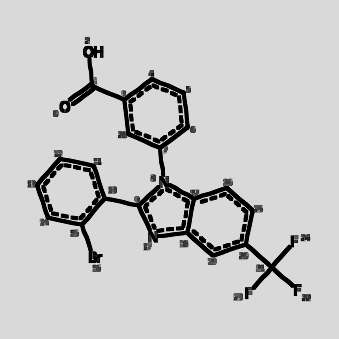 O=C(O)c1cccc(-n2c(-c3ccccc3Br)nc3cc(C(F)(F)F)ccc32)c1